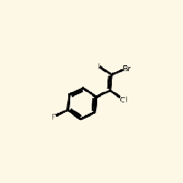 Fc1ccc(/C(Cl)=C(/Br)I)cc1